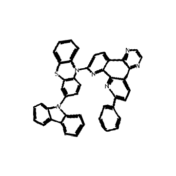 c1ccc(-c2ccc3c4nccnc4c4ccc(N5c6ccccc6Sc6cc(-n7c8ccccc8c8ccccc87)ccc65)nc4c3n2)cc1